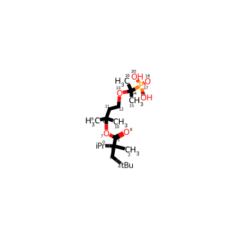 CC(C)C(C)(CC(C)(C)C)C(=O)OC(C)(C)CCOC(C)(C)P(=O)(O)O